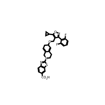 O=C(O)c1ccc2nc(N3CCC4=CC(OCc5c(-c6c(F)cccc6F)noc5C5CC5)CC=C4C3)sc2c1